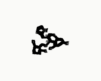 Clc1cc(Cl)c2c(c1)SC[C@H](Cc1ncc[nH]1)[C@@H]2OCc1c(Cl)cccc1Cl